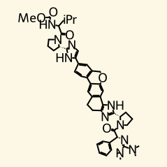 COC(=O)NC(C(=O)N1CCC[C@H]1c1ncc(-c2ccc3c(c2)COc2cc4c(cc2-3)CCc2nc([C@@H]3CCCN3C(=O)[C@H](N=C(N(C)C)N(C)C)c3ccccc3)[nH]c2-4)[nH]1)C(C)C